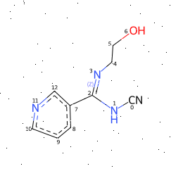 N#CN/C(=N\CCO)c1cccnc1